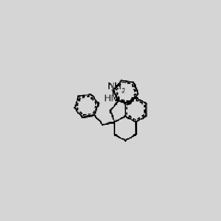 NNc1cccc2c1C(Cc1ccccc1)(Cc1ccccc1)CCC2